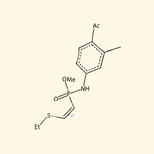 CCS/C=C\P(=O)(Nc1ccc(C(C)=O)c(C)c1)OC